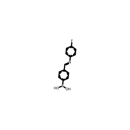 OB(O)c1ccc(C=Nc2ccc(F)cc2)cc1